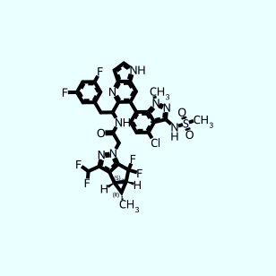 C[C@@H]1[C@@H]2c3c(C(F)F)nn(CC(=O)NC(Cc4cc(F)cc(F)c4)c4nc5cc[nH]c5cc4-c4ccc(Cl)c5c(NS(C)(=O)=O)nn(C)c45)c3C(F)(F)[C@H]12